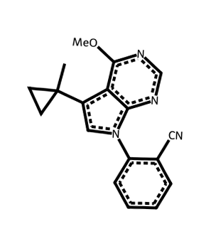 COc1ncnc2c1c(C1(C)CC1)cn2-c1ccccc1C#N